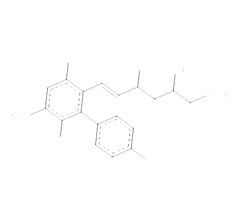 COc1cc(C(C)C)c(C=CC(O)CC(O)CC(=O)O)c(-c2ccc(F)cc2)c1O